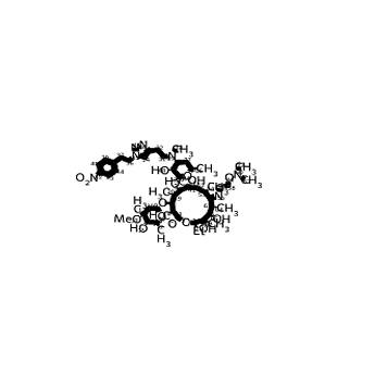 CC[C@H]1OC(=O)[C@H](C)[C@@H](O[C@H]2C[C@@](C)(OC)[C@@H](O)[C@H](C)O2)[C@H](C)[C@@H](O[C@@H]2O[C@H](C)C[C@H](N(C)CCc3cn(CCc4ccc([N+](=O)[O-])cc4)nn3)[C@H]2O)[C@](C)(O)C[C@@H](C)/C(=N\OCON(C)C)[C@H](C)[C@@H](O)[C@]1(C)O